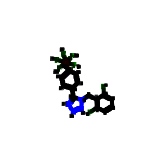 Fc1cccc(F)c1Cn1nnnc1-c1ccc(S(F)(F)(F)(F)F)cc1